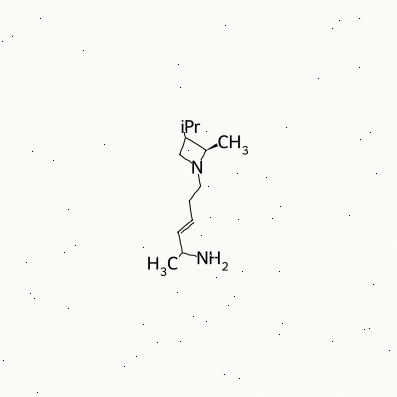 CC(N)/C=C/CCN1CC(C(C)C)[C@H]1C